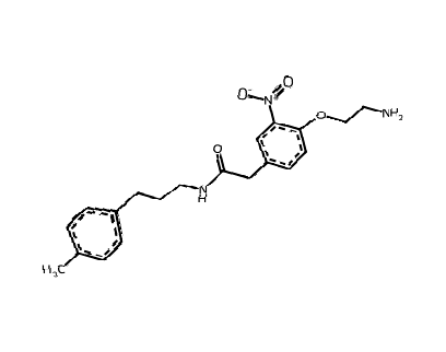 Cc1ccc(CCCNC(=O)Cc2ccc(OCCN)c([N+](=O)[O-])c2)cc1